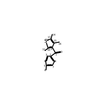 C=C(c1ccc(C)cc1)c1c(C)sc(C)c1C